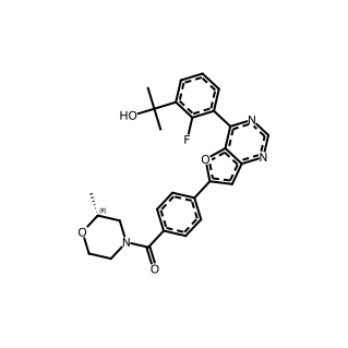 C[C@@H]1CN(C(=O)c2ccc(-c3cc4ncnc(-c5cccc(C(C)(C)O)c5F)c4o3)cc2)CCO1